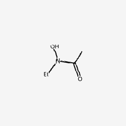 [CH2]CN(O)C(C)=O